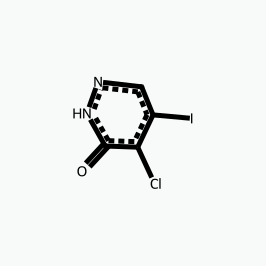 O=c1[nH]ncc(I)c1Cl